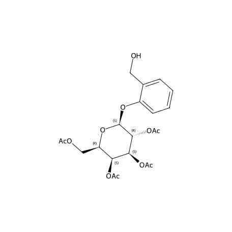 CC(=O)OC[C@H]1O[C@@H](Oc2ccccc2CO)[C@H](OC(C)=O)[C@@H](OC(C)=O)[C@H]1OC(C)=O